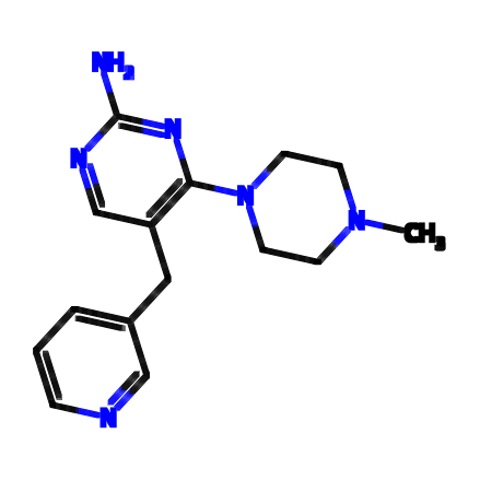 CN1CCN(c2nc(N)ncc2Cc2cccnc2)CC1